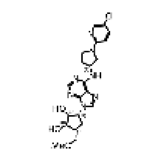 COC[C@H]1C[C@@H](n2cnc3c(N[C@H]4CCN(c5ccc(Cl)cn5)C4)ncnc32)[C@H](O)[C@@H]1O